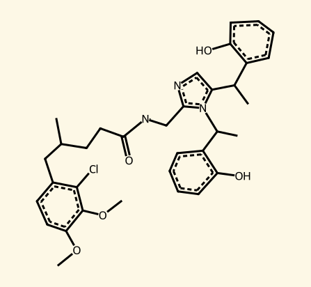 COc1ccc(CC(C)CCC(=O)[N]Cc2ncc(C(C)c3ccccc3O)n2C(C)c2ccccc2O)c(Cl)c1OC